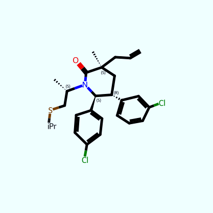 C=CC[C@@]1(C)C[C@H](c2cccc(Cl)c2)[C@@H](c2ccc(Cl)cc2)N([C@@H](C)CSC(C)C)C1=O